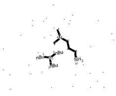 CCCCB(CCCC)CCCC.CN(C)CCCN